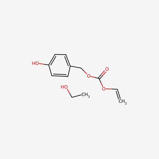 C=COC(=O)OCc1ccc(O)cc1.CCO